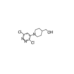 OCC1CCN(c2cc(Cl)nnc2Cl)CC1